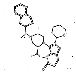 CC(c1ccc2nccnc2c1)N1C[C@H](C(F)F)N(c2c3c(ccc(=O)n3C)nn2C2CCCCO2)C[C@H]1C